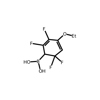 CCOC1=CC(F)(F)C(B(O)O)C(F)=C1F